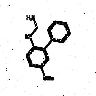 COc1ccc(PCN)c(-c2ccccc2)c1